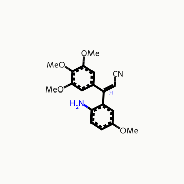 COc1ccc(N)c(/C(=C/C#N)c2cc(OC)c(OC)c(OC)c2)c1